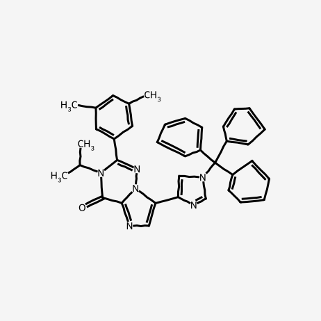 Cc1cc(C)cc(-c2nn3c(-c4cn(C(c5ccccc5)(c5ccccc5)c5ccccc5)cn4)cnc3c(=O)n2C(C)C)c1